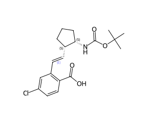 CC(C)(C)OC(=O)N[C@H]1CCC[C@H]1/C=C/c1cc(Cl)ccc1C(=O)O